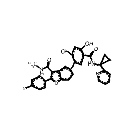 CNC(=O)c1c(-c2ccc(F)cc2)oc2ccc(-c3cc(C(=O)NC4(c5ccccn5)CC4)c(O)cc3Cl)cc12